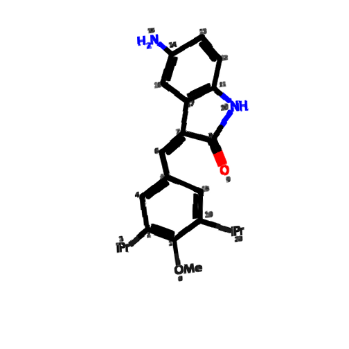 COc1c(C(C)C)cc(C=C2C(=O)Nc3ccc(N)cc32)cc1C(C)C